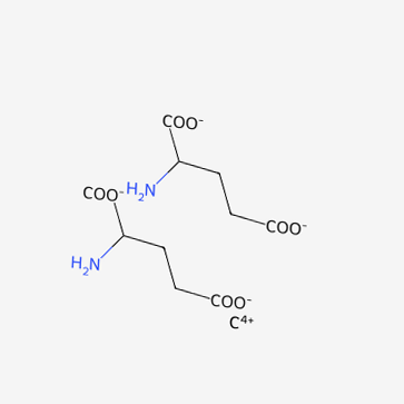 NC(CCC(=O)[O-])C(=O)[O-].NC(CCC(=O)[O-])C(=O)[O-].[C+4]